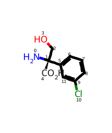 N[C@@](CO)(C(=O)O)c1cccc(Cl)c1